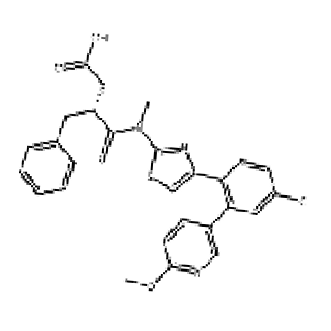 COc1ccc(-c2cc(Cl)ccc2-c2csc(N(C)C(=O)[C@@H](CC(=O)O)Cc3ccccc3)n2)cn1